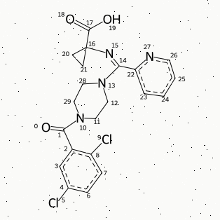 O=C(c1cc(Cl)ccc1Cl)N1CCN(C(=NC2(C(=O)O)CC2)c2ccccn2)CC1